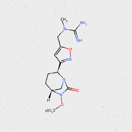 CN(Cc1cc([C@@H]2CC[C@@H]3CN2C(=O)N3OS(=O)(=O)O)no1)C(=N)N